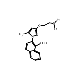 CCN(CC)CCOc1cc(C)n(-c2ccc3ccccc3c2C=O)n1